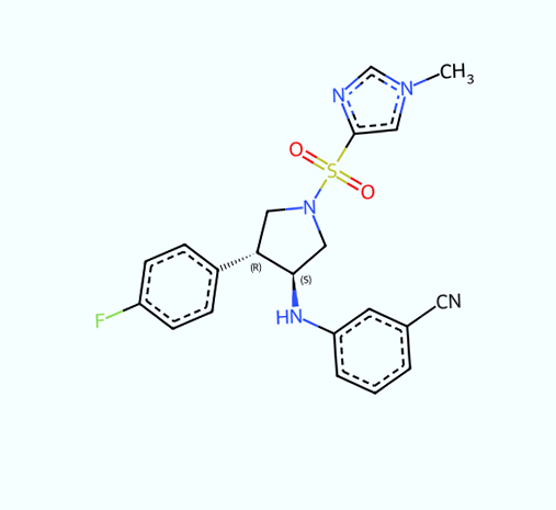 Cn1cnc(S(=O)(=O)N2C[C@@H](Nc3cccc(C#N)c3)[C@H](c3ccc(F)cc3)C2)c1